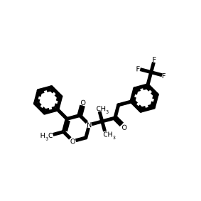 CC1=C(c2ccccc2)C(=O)N(C(C)(C)C(=O)Cc2cccc(C(F)(F)F)c2)CO1